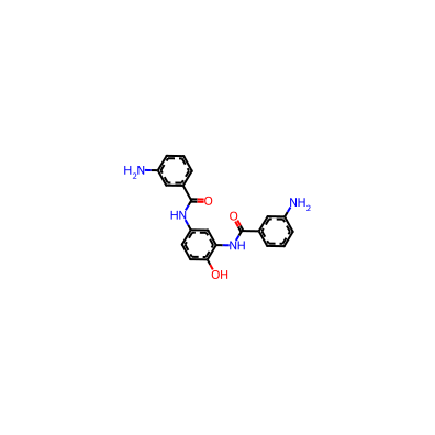 Nc1cccc(C(=O)Nc2ccc(O)c(NC(=O)c3cccc(N)c3)c2)c1